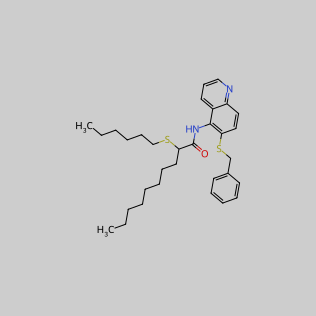 CCCCCCCCC(SCCCCCC)C(=O)Nc1c(SCc2ccccc2)ccc2ncccc12